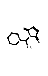 CC(N1CCCCC1)N1C(=O)C=CC1=O